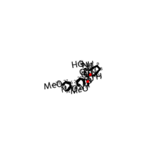 COCCOC(=O)N1[C@@H]2CC[C@H]1[C@H](C(=O)NO)N(S(=O)(=O)c1ccc(Oc3ccc(OC)nc3)nc1)C2